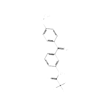 COc1ccc(C(=N)c2cccc(NC(=O)C(F)(F)F)c2)cc1